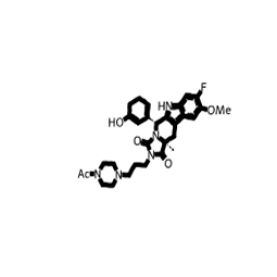 COc1cc2c3c([nH]c2cc1F)[C@@H](C1=CCCC(O)=C1)N1C(=O)N(CCCN2CCN(C(C)=O)CC2)C(=O)[C@]1(C)C3